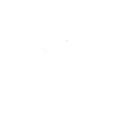 CCS(=O)(=O)NC1C=C(c2cn(C)c(=O)c3ccccc23)c2nc(C3CC3)n(C)c2C1C